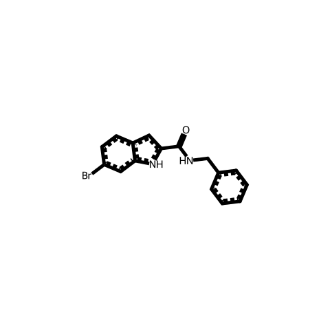 O=C(NCc1ccccc1)c1cc2ccc(Br)cc2[nH]1